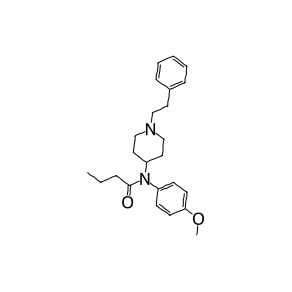 CCCC(=O)N(c1ccc(OC)cc1)C1CCN(CCc2ccccc2)CC1